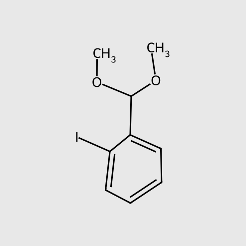 COC(OC)c1ccccc1I